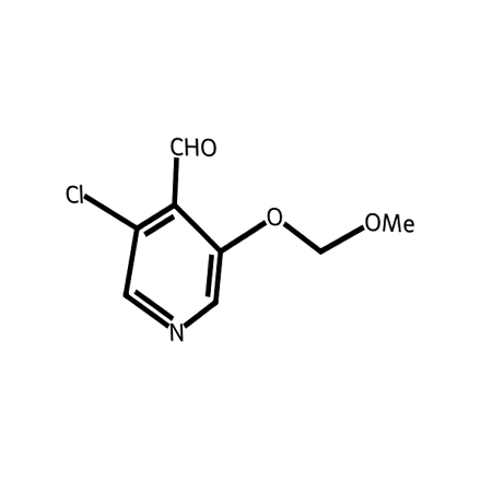 COCOc1cncc(Cl)c1C=O